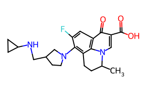 CC1CCc2c(N3CCC(CNC4CC4)C3)c(F)cc3c(=O)c(C(=O)O)cn1c23